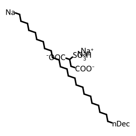 CCCCCCCCCCCCCCCCCCCCCCCCCCCCCCCCC[CH2][Na].O=C([O-])CC(C(=O)[O-])S(=O)(=O)O.[Na+].[Na+]